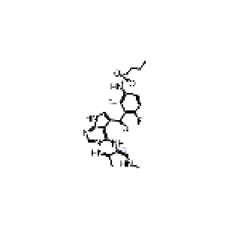 CCCS(=O)(=O)Nc1ccc(F)c(C(=O)c2c[nH]c3ncnc(N/C(=C/NC)C(C)=N)c23)c1F